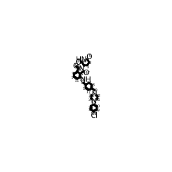 O=C1CCC(N2C(=O)c3cccc(NCC4C=CC(CN5CCN(c6ccc(Cl)cc6)CC5)=CC4)c3C2=O)C(=O)N1